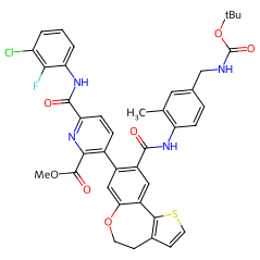 COC(=O)c1nc(C(=O)Nc2cccc(Cl)c2F)ccc1-c1cc2c(cc1C(=O)Nc1ccc(CNC(=O)OC(C)(C)C)cc1C)-c1sccc1CCO2